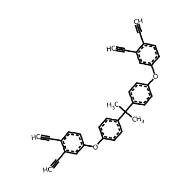 C#Cc1ccc(Oc2ccc(C(C)(C)c3ccc(Oc4ccc(C#C)c(C#C)c4)cc3)cc2)cc1C#C